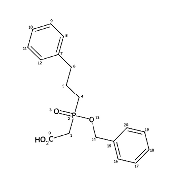 O=C(O)CP(=O)(CCCc1ccccc1)OCc1ccccc1